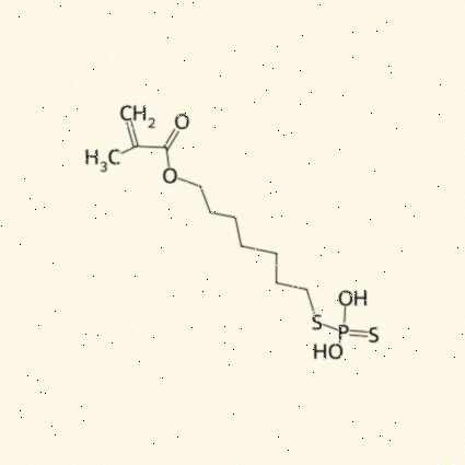 C=C(C)C(=O)OCCCCCCCSP(O)(O)=S